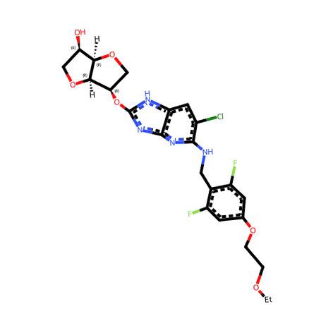 CCOCCOc1cc(F)c(CNc2nc3nc(O[C@@H]4CO[C@H]5[C@@H]4OC[C@H]5O)[nH]c3cc2Cl)c(F)c1